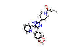 CC(=O)N1CCC(c2nc(-c3ccc4c(c3)OCO4)c(-c3ccccn3)[nH]2)CC1